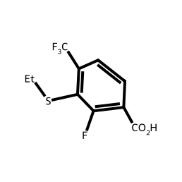 CCSc1c(C(F)(F)F)ccc(C(=O)O)c1F